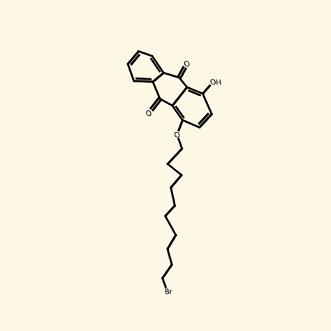 O=C1c2ccccc2C(=O)c2c(OCCCCCCCCCCBr)ccc(O)c21